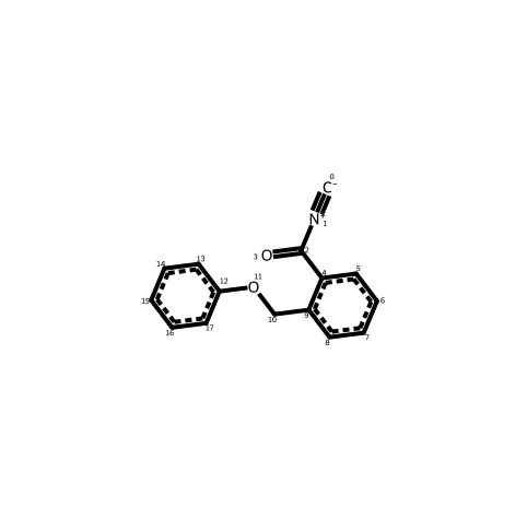 [C-]#[N+]C(=O)c1ccccc1COc1ccccc1